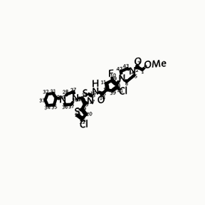 COCC(=O)N1CCN(c2c(F)cc(C(=O)Nc3nc(-c4cc(Cl)cs4)c(N4CCN(C5CCCCC5)CC4)s3)cc2Cl)CC1